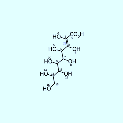 O=C(O)/C(O)=C(\O)C(O)C(O)C(O)C(O)C(O)CO